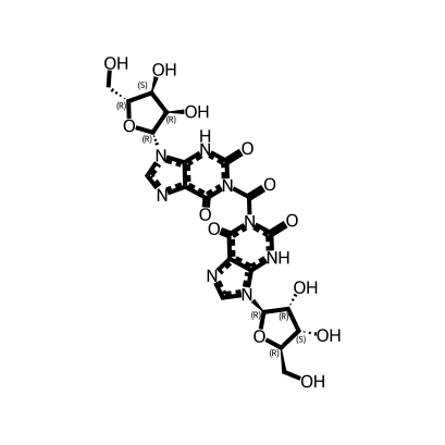 O=C(n1c(=O)[nH]c2c(ncn2[C@@H]2O[C@H](CO)[C@@H](O)[C@H]2O)c1=O)n1c(=O)[nH]c2c(ncn2[C@@H]2O[C@H](CO)[C@@H](O)[C@H]2O)c1=O